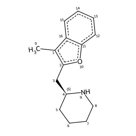 Cc1c(C[C@@H]2CCCCN2)oc2ccccc12